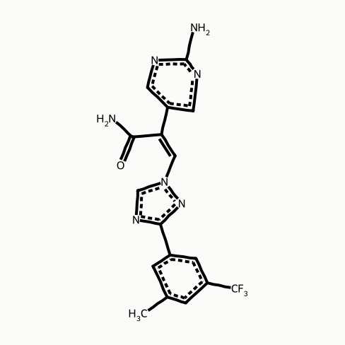 Cc1cc(-c2ncn(/C=C(\C(N)=O)c3cnc(N)nc3)n2)cc(C(F)(F)F)c1